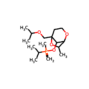 C=P(C)(OC1C2OCCC1(COC(C)C)OC2C)C(C)C